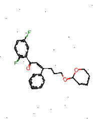 O=C(C=C(CCCOC1CCCCO1)c1ccccc1)c1cc(F)ccc1F